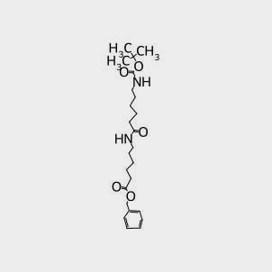 CC(C)(C)OC(=O)NCCCCCC(=O)NCCCCCC(=O)OCc1ccccc1